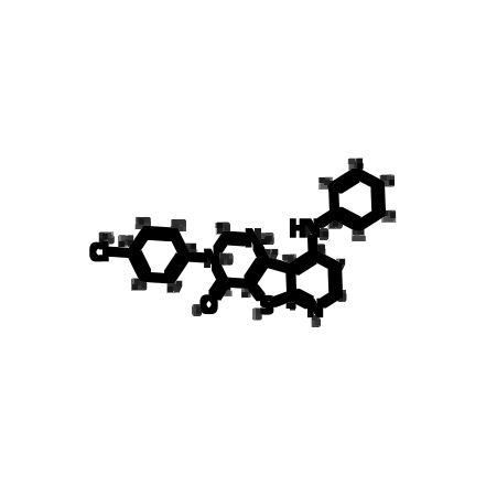 O=c1c2sc3nccc(Nc4ccccc4)c3c2ncn1-c1ccc(Cl)cc1